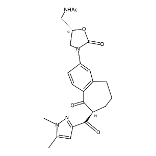 CC(=O)NC[C@H]1CN(c2ccc3c(c2)CCC[C@@H](C(=O)c2cc(C)n(C)n2)C3=O)C(=O)O1